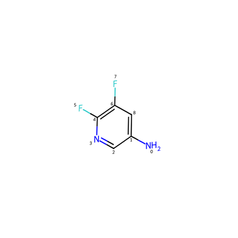 Nc1cnc(F)c(F)c1